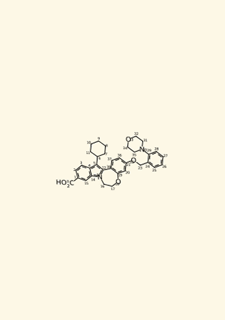 O=C(O)c1ccc2c(C3CCCCC3)c3n(c2c1)CCOc1cc(OCc2ccccc2N2CCOCC2)ccc1-3